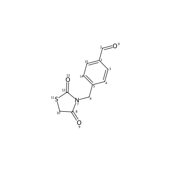 O=[C]c1ccc(CN2C(=O)CSC2=O)cc1